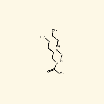 CCCCCOC(C)=O.CCOCC.OCCO